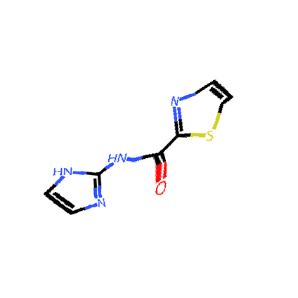 O=C(Nc1ncc[nH]1)c1nccs1